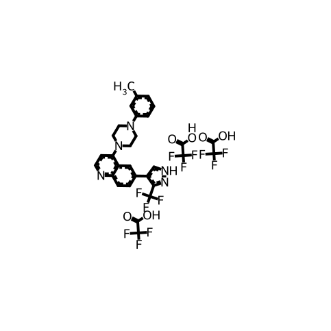 Cc1cccc(N2CCN(c3ccnc4ccc(-c5c[nH]nc5C(F)(F)F)cc34)CC2)c1.O=C(O)C(F)(F)F.O=C(O)C(F)(F)F.O=C(O)C(F)(F)F